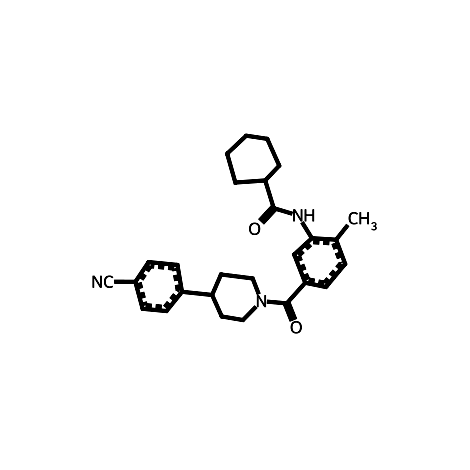 Cc1ccc(C(=O)N2CCC(c3ccc(C#N)cc3)CC2)cc1NC(=O)C1CCCCC1